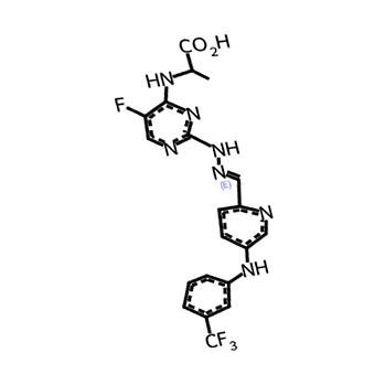 CC(Nc1nc(N/N=C/c2ccc(Nc3cccc(C(F)(F)F)c3)cn2)ncc1F)C(=O)O